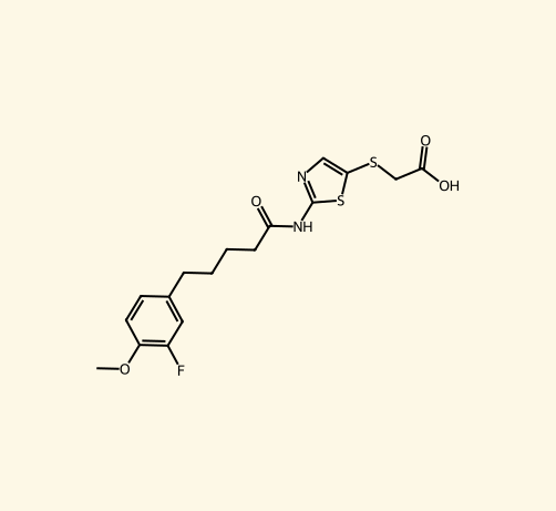 COc1ccc(CCCCC(=O)Nc2ncc(SCC(=O)O)s2)cc1F